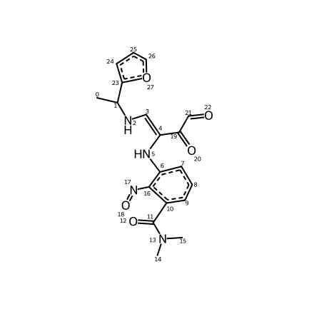 CC(N/C=C(\Nc1cccc(C(=O)N(C)C)c1N=O)C(=O)C=O)c1ccco1